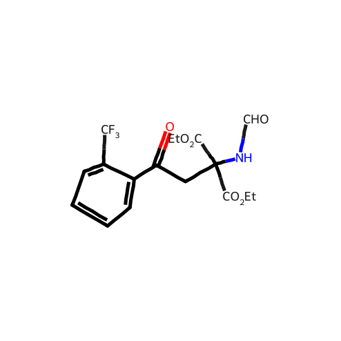 CCOC(=O)C(CC(=O)c1ccccc1C(F)(F)F)(NC=O)C(=O)OCC